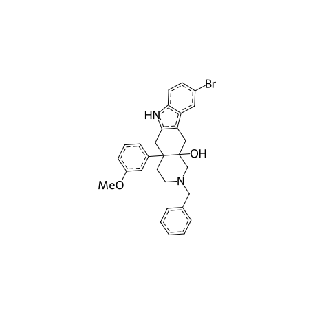 COc1cccc(C23CCN(Cc4ccccc4)CC2(O)Cc2c([nH]c4ccc(Br)cc24)C3)c1